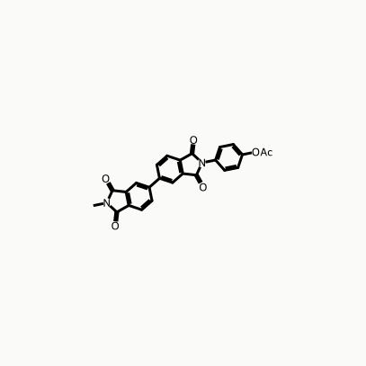 CC(=O)Oc1ccc(N2C(=O)c3ccc(-c4ccc5c(c4)C(=O)N(C)C5=O)cc3C2=O)cc1